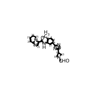 Cc1ccc(-c2noc(C3CN(C=O)C3)n2)cc1NC(=O)c1cnc2n1CCC=C2